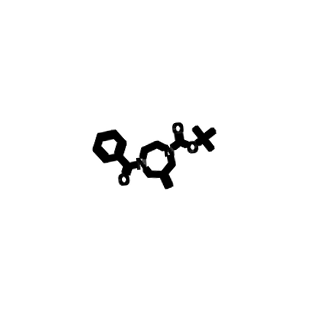 C=C1CN(C(=O)OC(C)(C)C)CCN(C(=O)c2ccccc2)C1